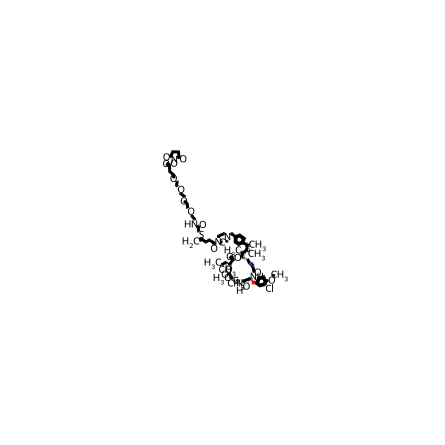 C=C(CCC(=O)N1CCN(Cc2ccc([C@@H](C)[C@H](C)[C@@H](C)[C@@H]3C/C=C/C(=O)N[C@H](Cc4ccc(OC)c(Cl)c4)C(=O)NCC(C)(C)C(=O)O[C@@H](CC(C)C)C(=O)O3)cc2)CC1)SCC(=O)NCCOCCOCCOCCOCCC(=O)ON1C(=O)CCC1=O